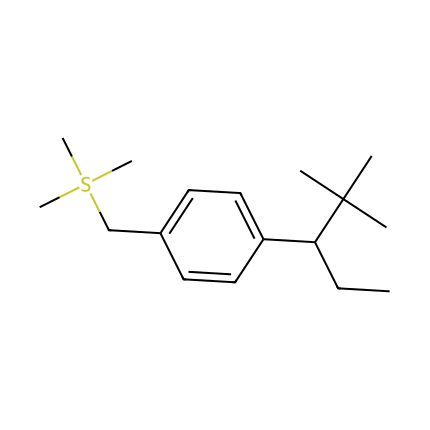 CCC(c1ccc(CS(C)(C)C)cc1)C(C)(C)C